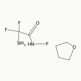 C1CCOC1.O=C(NF)C(F)(F)[SiH3]